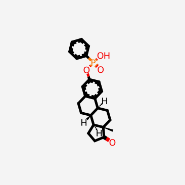 C[C@]12CC[C@@H]3c4ccc(OP(=O)(O)c5ccccc5)cc4CC[C@H]3[C@@H]1CCC2=O